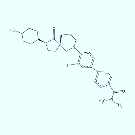 CN(C)C(=O)c1ccc(-c2ccc(N3CCC[C@]4(CC[C@@H](C5CCC(O)CC5)[N+]4=O)C3)c(F)c2)cn1